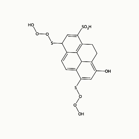 O=S(=O)(O)C1=CC(SOOO)C2=CC=C3C(SOOO)=CC(O)=C4CCC1=C2C34